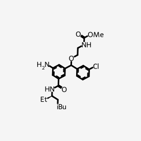 CCC(C)C[C@@H](CC)NC(=O)c1cc(N)cc(C(OCCNC(=O)OC)c2cccc(Cl)c2)c1